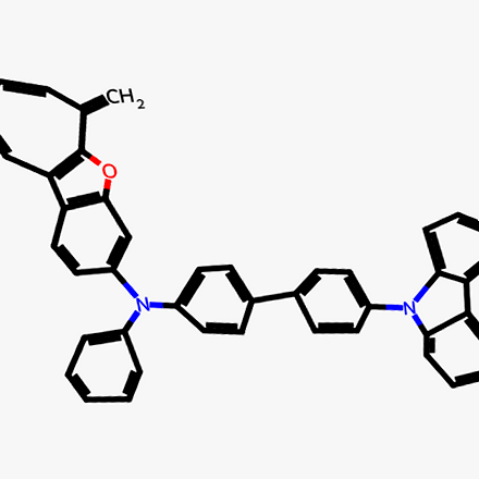 C=C1C=CC=Cc2c1oc1cc(N(c3ccccc3)c3ccc(-c4ccc(-n5c6ccccc6c6ccccc65)cc4)cc3)ccc21